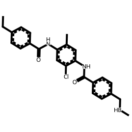 CBCc1ccc(C(=O)Nc2cc(C)c(NC(=O)c3ccc(CC)cc3)cc2Cl)cc1